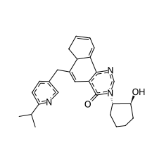 CC(C)c1ccc(CC2=Cc3c(ncn([C@H]4CCCC[C@@H]4O)c3=O)C3=CC=CCC23)cn1